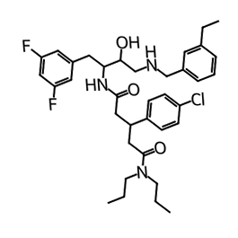 CCCN(CCC)C(=O)CC(CC(=O)NC(Cc1cc(F)cc(F)c1)C(O)CNCc1cccc(CC)c1)c1ccc(Cl)cc1